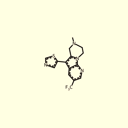 CN1CCn2c(c(-c3cncs3)c3cc(C(F)(F)F)cnc32)C1